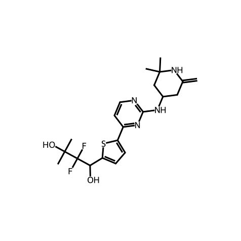 C=C1CC(Nc2nccc(-c3ccc(C(O)C(F)(F)C(C)(C)O)s3)n2)CC(C)(C)N1